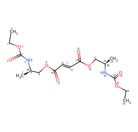 CCOC(=O)N[C@H](C)COC(=O)/C=C/C(=O)OC[C@@H](C)NC(=O)OCC